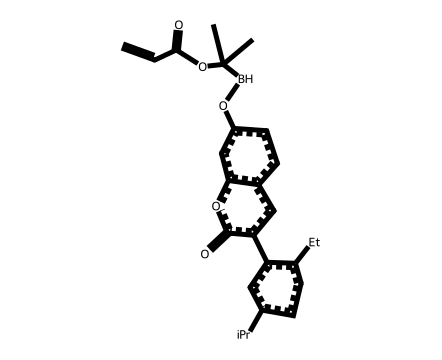 C=CC(=O)OC(C)(C)BOc1ccc2cc(-c3cc(C(C)C)ccc3CC)c(=O)oc2c1